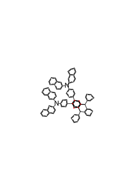 c1ccc(C23c4ccccc4C(c4ccccc4)(c4ccc(-c5ccc(N(c6ccc7ccccc7c6)c6ccc7ccccc7c6)cc5)cc42)c2cc(-c4ccc(N(c5ccc6ccccc6c5)c5ccc6ccccc6c5)cc4)ccc23)cc1